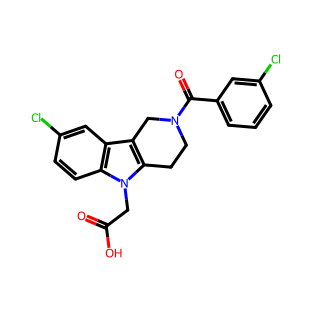 O=C(O)Cn1c2c(c3cc(Cl)ccc31)CN(C(=O)c1cccc(Cl)c1)CC2